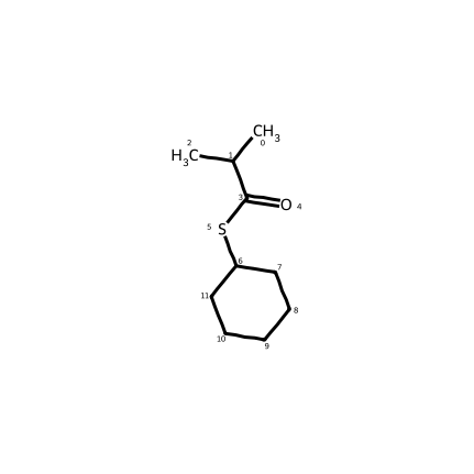 CC(C)C(=O)SC1CCCCC1